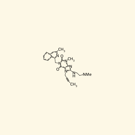 CC#CCn1c(NCCNC)nc2c1c(=O)n(Cc1nc(C)cc3ccccc13)c(=O)n2C